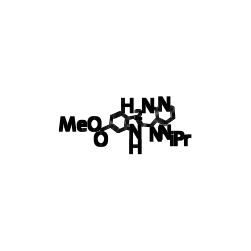 COC(=O)c1ccc2cc(-c3nn(C(C)C)c4ccnc(N)c34)[nH]c2c1